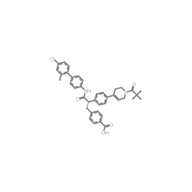 Cc1cc(Cl)ccc1-c1ccc(NC(=O)[C@H](Cc2ccc(C(=O)O)cc2)c2ccc(C3=CCN(C(=O)C(C)(C)C)CC3)cc2)cc1